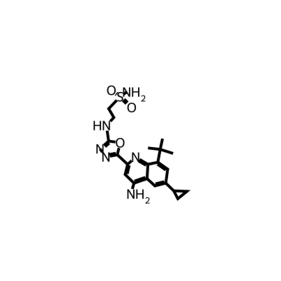 CC(C)(C)c1cc(C2CC2)cc2c(N)cc(-c3nnc(NCCS(N)(=O)=O)o3)nc12